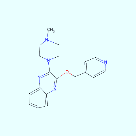 CN1CCN(c2nc3ccccc3nc2OCc2ccncc2)CC1